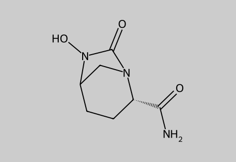 NC(=O)[C@@H]1CCC2CN1C(=O)N2O